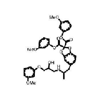 COc1cccc(OCC(O)CNC(C)Cc2ccc3c(c2)OC(C(=O)Oc2cccc(OC)c2)(C(=O)Oc2cccc(OC)c2)O3)c1